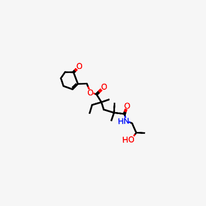 CCC(C)(CC(C)(C)C(=O)NCC(C)O)C(=O)OCC1=CCCCC1=O